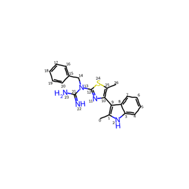 Cc1[nH]c2ccccc2c1-c1nc(N(Cc2ccccc2)C(=N)N)sc1C